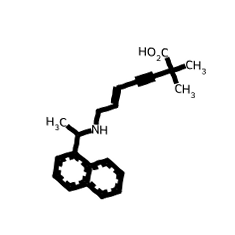 CC(NCC=CC#CC(C)(C)C(=O)O)c1cccc2ccccc12